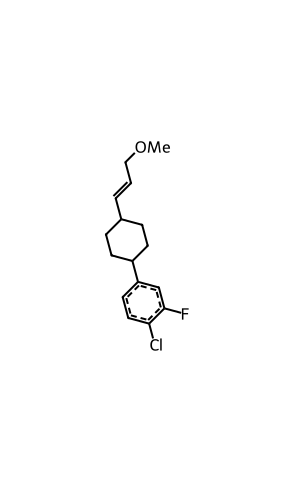 COCC=CC1CCC(c2ccc(Cl)c(F)c2)CC1